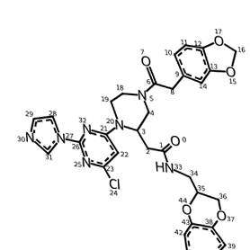 O=C(CC1CN(C(=O)Cc2ccc3c(c2)OCO3)CCN1c1cc(Cl)nc(-n2ccnc2)n1)NCC1COc2ccccc2O1